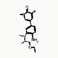 CCOC[C@@H](C)N(C)c1cc(-c2cc(C)c(=O)n(C)c2)ccc1N